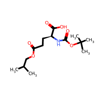 CC(C)COC(=O)CC[C@H](NC(=O)OC(C)(C)C)C(=O)O